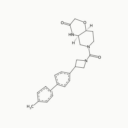 Cc1ccc(-c2ccc(C3CN(C(=O)N4CC[C@@H]5OCC(=O)N[C@@H]5C4)C3)cc2)cc1